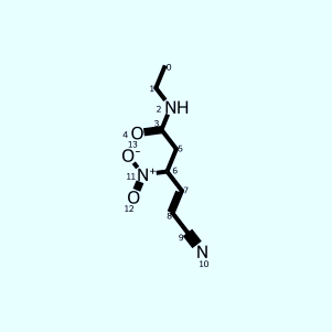 CCNC(=O)CC(/C=C/C#N)[N+](=O)[O-]